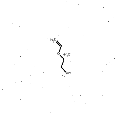 C=COCCCCC.O